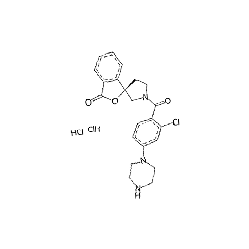 Cl.Cl.O=C1O[C@]2(CCN(C(=O)c3ccc(N4CCNCC4)cc3Cl)C2)c2ccccc21